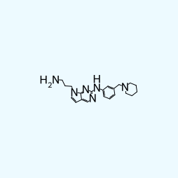 NCCCn1ccc2cnc(Nc3cccc(CN4CCCCC4)c3)nc21